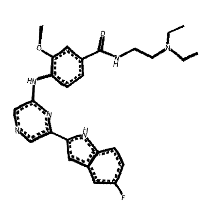 CCN(CC)CCNC(=O)c1ccc(Nc2cncc(-c3cc4cc(F)ccc4[nH]3)n2)c(OC)c1